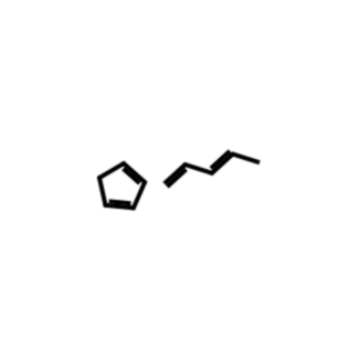 C1=CCC=C1.C=CC=CC